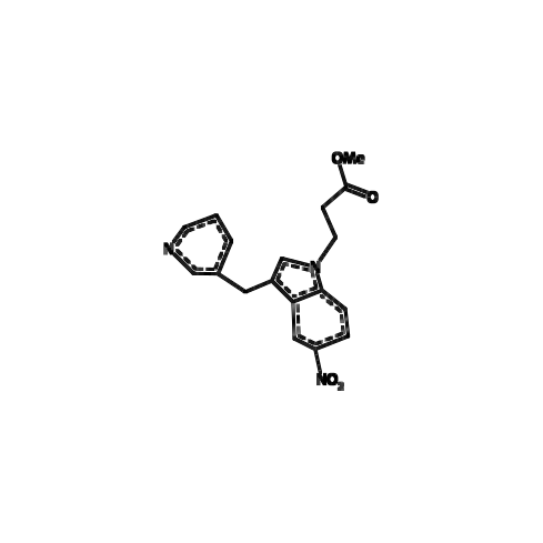 COC(=O)CCn1cc(Cc2cccnc2)c2cc([N+](=O)[O-])ccc21